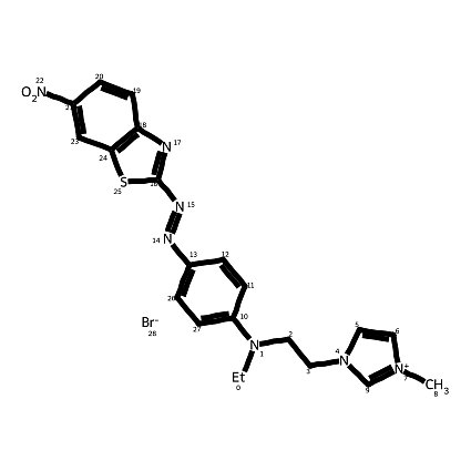 CCN(CCn1cc[n+](C)c1)c1ccc(N=Nc2nc3ccc([N+](=O)[O-])cc3s2)cc1.[Br-]